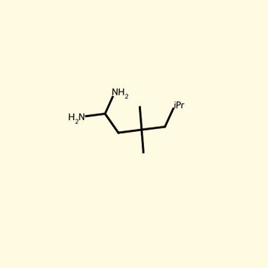 CC(C)CC(C)(C)CC(N)N